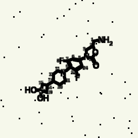 NCC1CN(c2cc(F)c(N3CCC(C4CS(O)(O)C4)CC3)c(F)c2)C(=O)O1